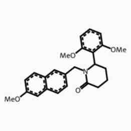 COc1ccc2cc(CN3C(=O)CCCC3c3c(OC)cccc3OC)ccc2c1